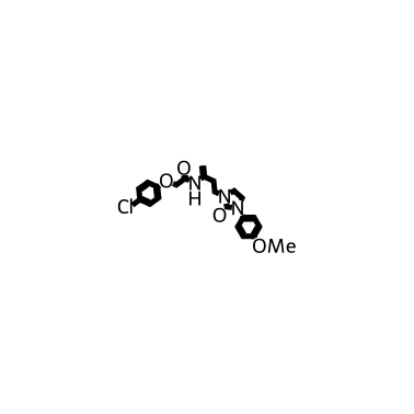 C=C(CCN1CCN(c2ccc(OC)cc2)C1=O)NC(=O)COc1ccc(Cl)cc1